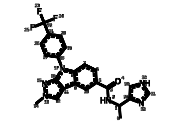 CC(NC(=O)c1ccc2c(c1)c1cn(C)nc1n2-c1ccc(C(F)(F)F)cc1)c1c[nH]cn1